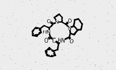 O=C1CC(Cc2ccccc2)NC(=O)C2CC3CCCCC3N2C(=O)C2CCCN2C(=O)C(Cc2ccccc2)N1